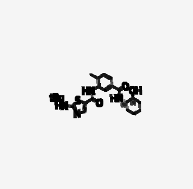 Cc1ccc(C(=O)N[C@H]2CCCC[C@@H]2O)cc1NC(=O)c1cnc(NC(C)(C)C)s1